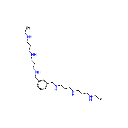 CC(C)CNCCCNCCCNCc1cccc(CNCCCNCCCNCC(C)C)c1